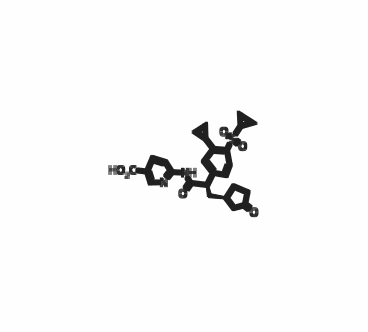 O=C1CC[C@H](C[C@@H](C(=O)Nc2ccc(C(=O)O)cn2)c2ccc(S(=O)(=O)C3CC3)c(C3CC3)c2)C1